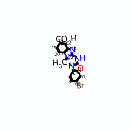 Cn1c(Nc2nc3ccc(Br)cc3o2)nc2cc(C(=O)O)ccc21